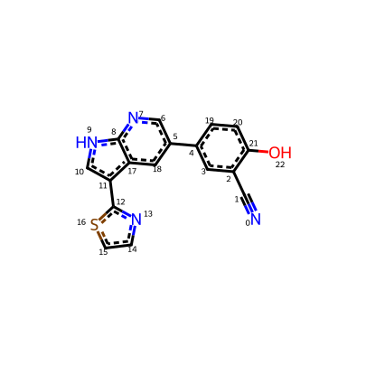 N#Cc1cc(-c2cnc3[nH]cc(-c4nccs4)c3c2)ccc1O